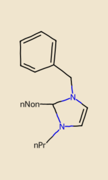 CCCCCCCCCC1N(CCC)C=CN1Cc1ccccc1